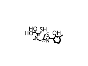 Cc1cccc(C2=N[C@@H](CN(C)[C@H](CS)C(O)O)CS2)c1O